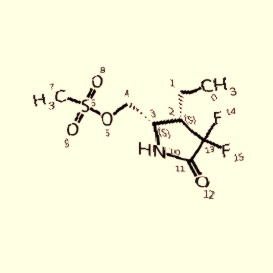 CC[C@H]1[C@@H](COS(C)(=O)=O)NC(=O)C1(F)F